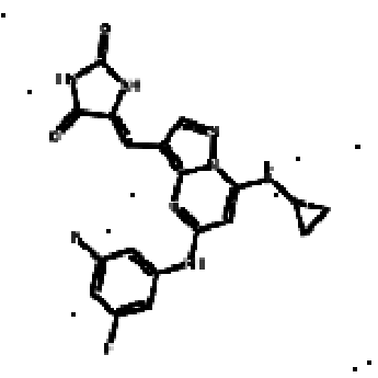 O=C1NC(=O)C(=Cc2cnn3c(NC4CC4)cc(Nc4cc(F)cc(F)c4)nc23)N1